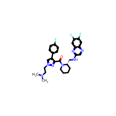 CN(C)CCn1cc(-c2ccc(F)cc2)c(C(=O)N2CCCC[C@H]2CNc2cnc3cc(F)c(F)cc3n2)n1